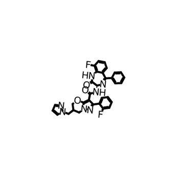 O=C(N[C@H]1N=C(c2ccccc2)c2cccc(F)c2NC1=O)c1c(-c2ccccc2F)nn2c1OCC(Cn1cccn1)C2